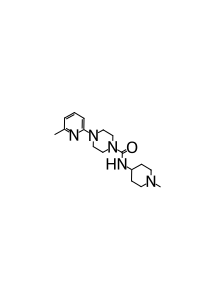 Cc1cccc(N2CCN(C(=O)NC3CCN(C)CC3)CC2)n1